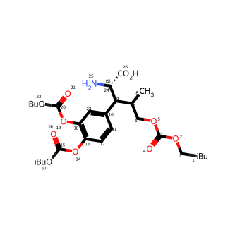 CCC(C)COC(=O)OCC(C)C(c1ccc(OC(=O)OCC(C)C)c(OC(=O)OCC(C)C)c1)[C@H](N)C(=O)O